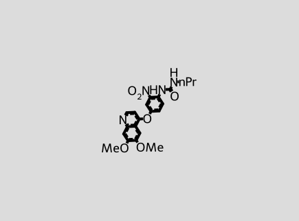 CCCNC(=O)Nc1ccc(Oc2ccnc3cc(OC)c(OC)cc23)cc1[N+](=O)[O-]